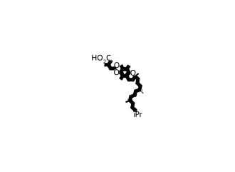 Cc1c(C)c2c(c(C)c1OC(=O)CC(C)CC(=O)O)CC[C@@](C)(CCC[C@H](C)CCC[C@H](C)CCCC(C)C)O2